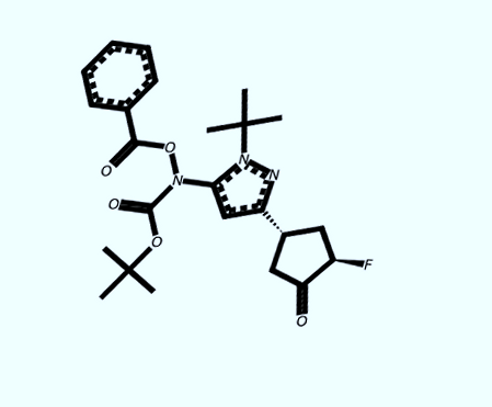 CC(C)(C)OC(=O)N(OC(=O)c1ccccc1)c1cc([C@H]2CC(=O)[C@H](F)C2)nn1C(C)(C)C